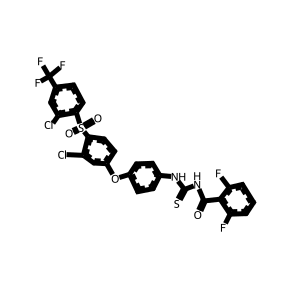 O=C(NC(=S)Nc1ccc(Oc2ccc(S(=O)(=O)c3ccc(C(F)(F)F)cc3Cl)c(Cl)c2)cc1)c1c(F)cccc1F